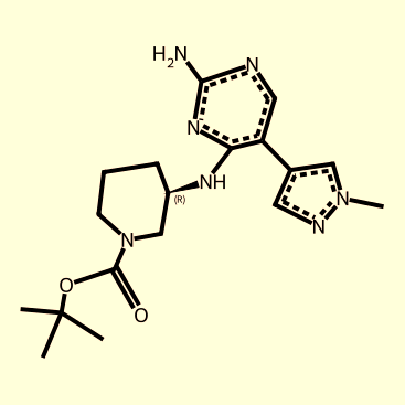 Cn1cc(-c2cnc(N)nc2N[C@@H]2CCCN(C(=O)OC(C)(C)C)C2)cn1